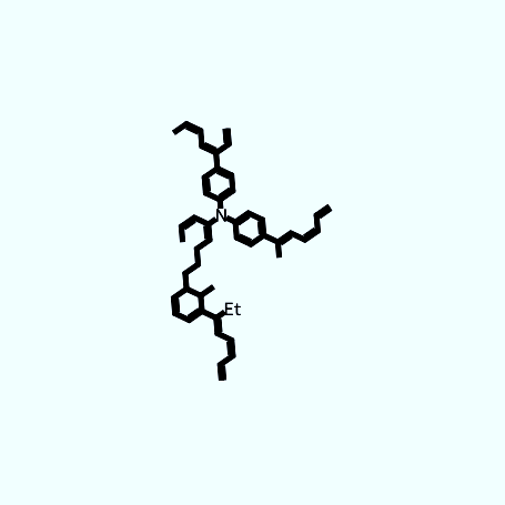 C=C/C=C\C=C(/CC)C1=CC=CC(CCC/C=C(\C=C/C)N(c2ccc(/C(C)=C/C=C\C=C)cc2)c2ccc(/C(C=C)=C/C=C\C)cc2)C1C